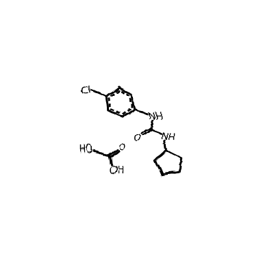 O=C(Nc1ccc(Cl)cc1)NC1CCCC1.O=C(O)O